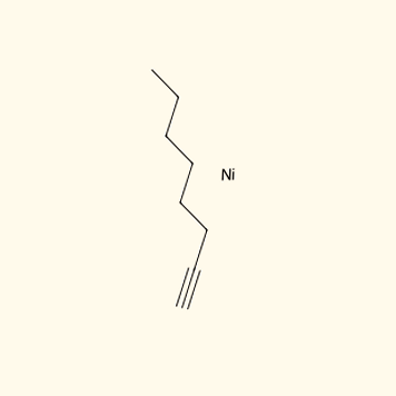 C#CCCCCCC.[Ni]